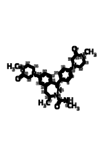 CNC(=O)N1N=C(c2ccc(N3CCN(C)C(=O)C3)cc2)c2ccc(N3CCN(C)C(=O)C3)cc2CC1C